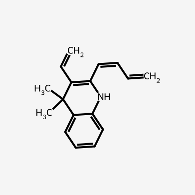 C=C/C=C\C1=C(C=C)C(C)(C)c2ccccc2N1